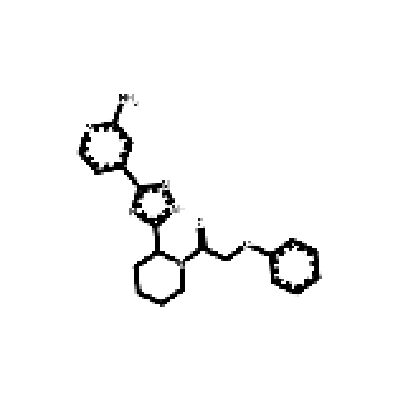 Nc1cc(-c2n[nH]c(C3CCCCN3C(=O)COc3ccccc3)n2)ccn1